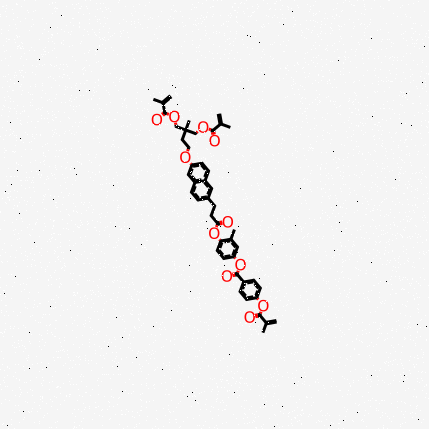 C=C(C)C(=O)OCC(C)(CCOc1ccc2cc(CCC(=O)Oc3ccc(OC(=O)c4ccc(OC(=O)C(=C)C)cc4)cc3C)ccc2c1)COC(=O)C(=C)C